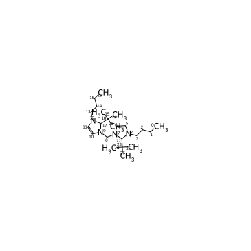 CCCCN1C=CN(CN2C=CN(CCCC)C2C(C)(C)C)C1C(C)(C)C